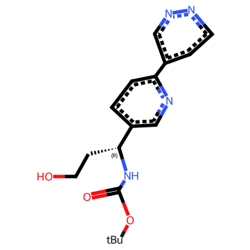 CC(C)(C)OC(=O)N[C@H](CCO)c1ccc(-c2ccnnc2)nc1